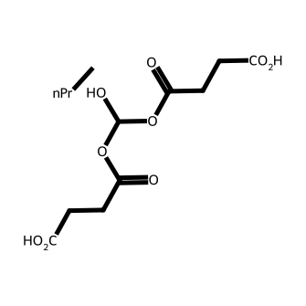 CCCC.O=C(O)CCC(=O)OC(O)OC(=O)CCC(=O)O